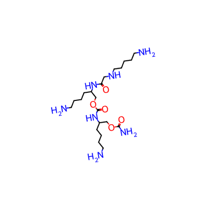 NCCCCCNCC(=O)NC(CCCCN)COC(=O)NC(CCCCN)COC(N)=O